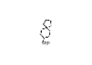 O=C(O)C1CCC2(CCCC2)CC1